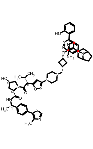 Cc1ncsc1-c1ccc([C@H](C)NC(=O)[C@@H]2C[C@@H](O)CN2C(=O)[C@@H](c2cc(N3CCN(C[C@H]4C[C@H](Oc5cc(N6C7CCC6CN(c6cc(-c8ccccc8O)nnc6N)C7)ccn5)C4)CC3)no2)C(C)C)cc1